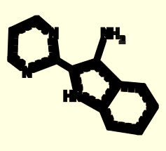 Nc1c(-c2ncccn2)[nH]c2ccccc12